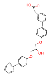 O=C(O)Cc1cccc(-c2ccc(OCC(O)COc3ccc(-c4ccccc4)cc3)cc2)c1